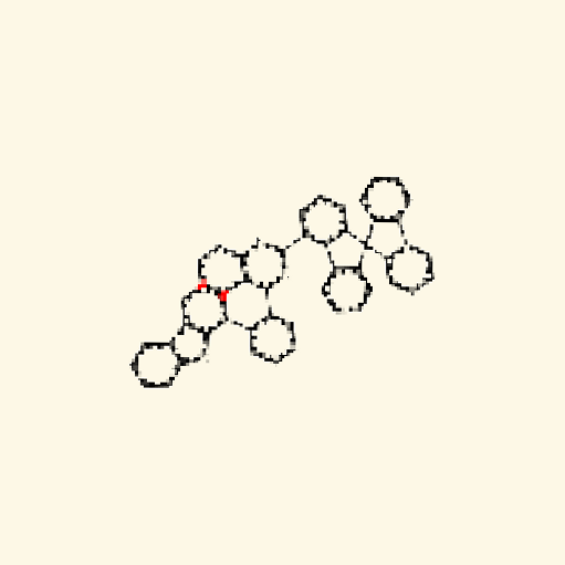 c1ccc(-c2cccc3c2sc2ccccc23)c(-c2nc(-c3cccc4c3-c3ccccc3C43c4ccccc4-c4ccccc43)nc3ccccc23)c1